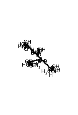 CC(=O)NC1[C@H](OCCCCCCCCC(=O)NCCCN(CCCCN(CCCNC(=O)CCCCCCCCO[C@@H]2OC(CO)[C@H](O)[C@H](O)C2NC(C)=O)C(=O)C(O)COP(C)(=O)O)C(=O)CCCCCCCCO[C@@H]2OC(CO)[C@H](O)[C@H](O)C2NC(C)=O)OC(CO)[C@H](O)[C@@H]1O